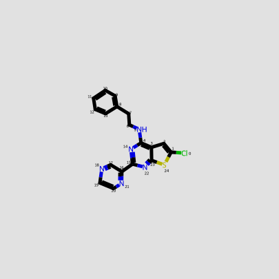 Clc1cc2c(NCCc3ccccc3)nc(-c3cnccn3)nc2s1